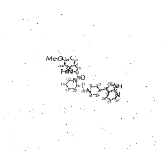 COc1ccc2cc(C(=O)N3CCCC[C@H]3CCN3CCC(c4c[nH]c5ncccc45)CC3)[nH]c2c1